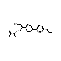 C=C(C)C(=O)OCC(CO)C1CCC(c2ccc(CCC)cc2)CC1